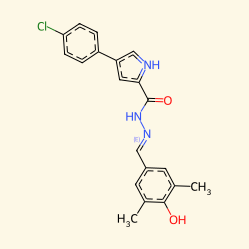 Cc1cc(/C=N/NC(=O)c2cc(-c3ccc(Cl)cc3)c[nH]2)cc(C)c1O